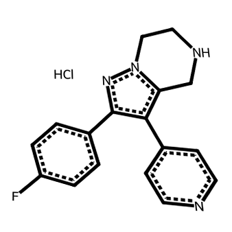 Cl.Fc1ccc(-c2nn3c(c2-c2ccncc2)CNCC3)cc1